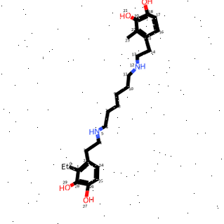 CCc1c(CCNCCCCCCNCCc2ccc(O)c(O)c2C)ccc(O)c1O